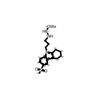 COBNCCCn1c2c(c3cc(S(C)(=O)=O)ccc31)CCCC2